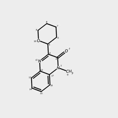 Cn1c(=O)c(C2CCCCO2)nc2ccccc21